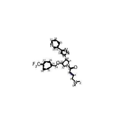 CN(C)C/C=C/C(=O)N1C[C@@H](n2cc(-c3cccnc3)nn2)[C@H](OCc2ccc(C(F)(F)F)cc2)C1